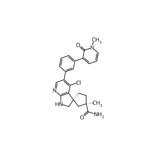 Cn1cccc(-c2cccc(-c3cnc4c(c3Cl)[C@]3(CC[C@@](C)(C(N)=O)C3)CN4)c2)c1=O